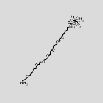 CC(C)(C)OC(=O)NCCOCCOCCOCCOCCOCCOCCOCCOCCOCCN